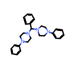 c1ccc(C(N2CCN(c3ccccc3)CC2)N2CCN(c3ccccc3)CC2)cc1